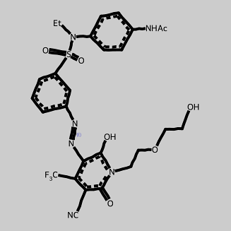 CCN(c1ccc(NC(C)=O)cc1)S(=O)(=O)c1cccc(/N=N/c2c(C(F)(F)F)c(C#N)c(=O)n(CCOCCO)c2O)c1